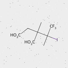 CC(CC(=O)O)(C(=O)O)C(C)(I)C(F)(F)F